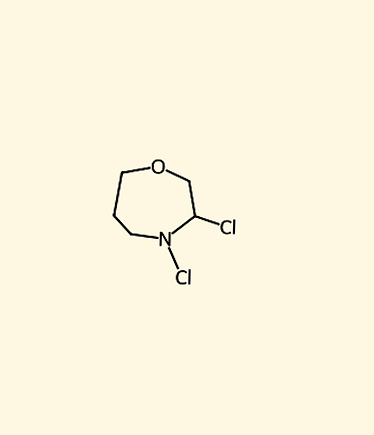 ClC1COCCCN1Cl